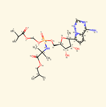 CCCC(CCC)C(=O)OCO[P@@](=O)(NC(C)(C)C(=O)OCC(CC)CC)OC[C@H]1O[C@@](C#N)(c2ccc3c(N)ncnn23)[C@H](O)[C@@H]1O